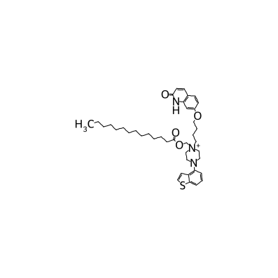 CCCCCCCCCCCCCC(=O)OC[N+]1(CCCCOc2ccc3ccc(=O)[nH]c3c2)CCN(c2cccc3sccc23)CC1